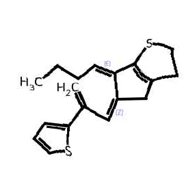 C=C(/C=C1/CC2=C(SCC2)/C1=C/CCC)c1cccs1